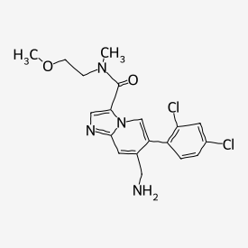 COCCN(C)C(=O)c1cnc2cc(CN)c(-c3ccc(Cl)cc3Cl)cn12